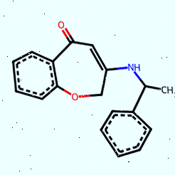 CC(NC1=CC(=O)c2ccccc2OC1)c1ccccc1